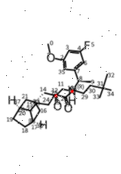 COc1cc(F)cc([C@@H](C)NCC(=O)C[C@@H]2C[C@H]3CC[C@@H](C2)C3CCCC(=O)CCCC(C)(C)C)c1